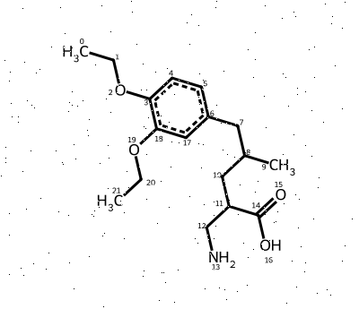 CCOc1ccc(CC(C)CC(CN)C(=O)O)cc1OCC